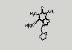 Cn1c(=O)c2c(ncn2CC2OCCO2)n(C)c1=O.O.O